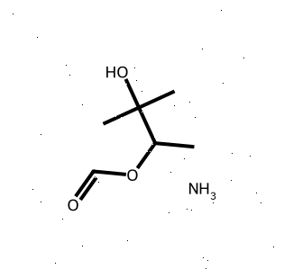 CC(OC=O)C(C)(C)O.N